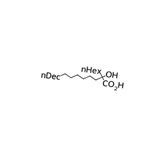 CCCCCCCCCCCCCCCCC(O)(CCCCCC)C(=O)O